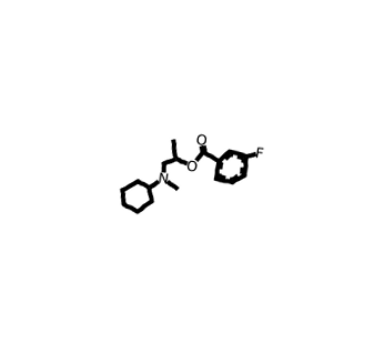 CC(CN(C)C1CCCCC1)OC(=O)c1cccc(F)c1